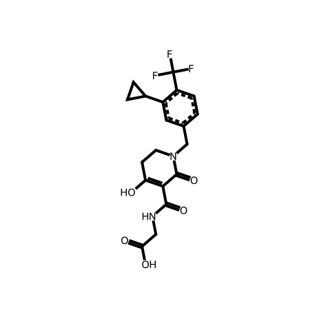 O=C(O)CNC(=O)C1=C(O)CCN(Cc2ccc(C(F)(F)F)c(C3CC3)c2)C1=O